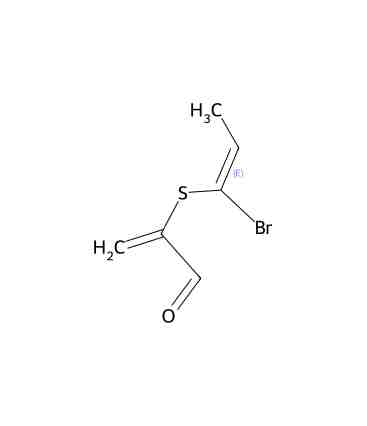 C=C(C=O)S/C(Br)=C\C